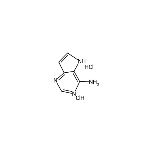 Cl.Cl.Nc1ncnc2cc[nH]c12